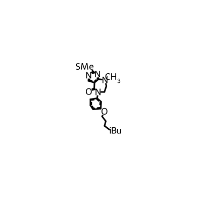 CCC(C)CCCOc1cccc(N2CCN(C)c3nc(SC)ncc3C2=O)c1